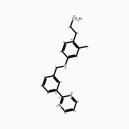 Cc1cc(OCc2cccc(-c3ncccn3)c2)ccc1CCC(=O)O